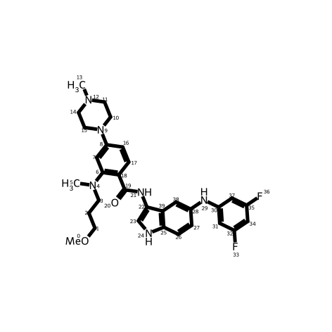 COCCCN(C)c1cc(N2CCN(C)CC2)ccc1C(=O)Nc1c[nH]c2ccc(Nc3cc(F)cc(F)c3)cc12